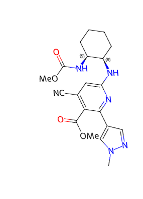 COC(=O)N[C@H]1CCCC[C@H]1Nc1cc(C#N)c(C(=O)OC)c(-c2cnn(C)c2)n1